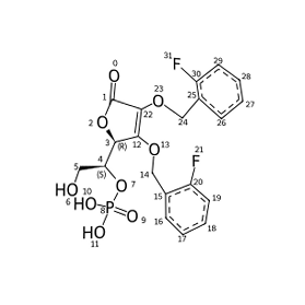 O=C1O[C@H]([C@H](CO)OP(=O)(O)O)C(OCc2ccccc2F)=C1OCc1ccccc1F